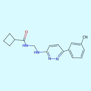 N#Cc1cccc(-c2ccc(NCNC(=O)C3CCC3)nn2)c1